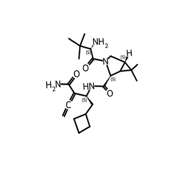 C=C=C(C(N)=O)[C@H](CC1CCC1)NC(=O)[C@@H]1C2[C@H](CN1C(=O)[C@@H](N)C(C)(C)C)C2(C)C